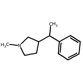 CC(c1ccccc1)C1CCN(C)C1